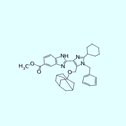 COC(=O)c1ccc2[nH]c(-c3nc(C4CCCCC4)n(Cc4ccccc4)c3COC34CC5CC(CC(C5)C3)C4)nc2c1